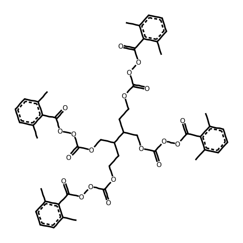 Cc1cccc(C)c1C(=O)OOC(=O)OCCC(COC(=O)OOC(=O)c1c(C)cccc1C)C(CCOC(=O)OOC(=O)c1c(C)cccc1C)COC(=O)OOC(=O)c1c(C)cccc1C